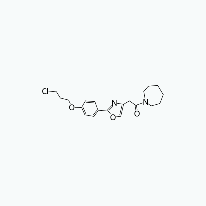 O=C(Cc1coc(-c2ccc(OCCCCl)cc2)n1)N1CCCCCC1